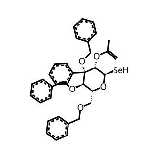 C=C(C)O[C@@H]1[C@@H]([SeH])O[C@H](COCc2ccccc2)[C@@H](OCc2ccccc2)[C@@]1(OCc1ccccc1)c1ccccc1